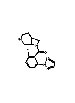 O=C(c1c(F)cccc1-n1nccn1)N1CC2CCNCC21